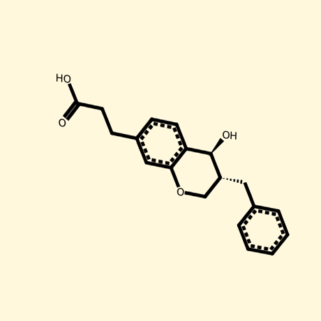 O=C(O)CCc1ccc2c(c1)OC[C@@H](Cc1ccccc1)[C@@H]2O